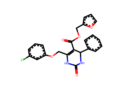 O=C1NC(COc2cccc(Cl)c2)=C(C(=O)OCc2ccco2)C(c2ccccc2)N1